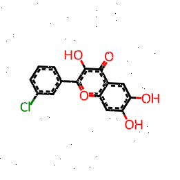 O=c1c(O)c(-c2cccc(Cl)c2)oc2cc(O)c(O)cc12